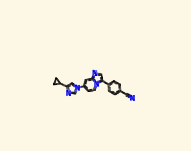 N#Cc1ccc(-c2cnc3cc(-n4cnc(C5CC5)c4)ccn23)cc1